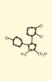 Cn1c(C(=O)O)cc(-c2cccc(Cl)c2Cl)c1-c1ccc(Cl)cc1